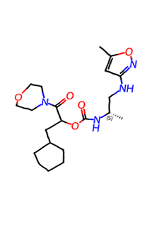 Cc1cc(NC[C@H](C)NC(=O)OC(CC2CCCCC2)C(=O)N2CCOCC2)no1